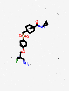 NC/C(=C\F)COc1ccc(S(=O)(=O)CC23CCC(C(=O)NC4CC4)(CC2)CC3)cc1